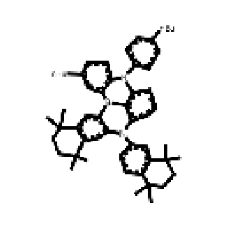 CCCCc1ccc(N2c3ccc(CCCC)cc3B3c4cc5c(cc4N(c4ccc6c(c4)C(C)(C)CCC6(C)C)c4cccc2c43)C(C)(C)CCC5(C)C)cc1